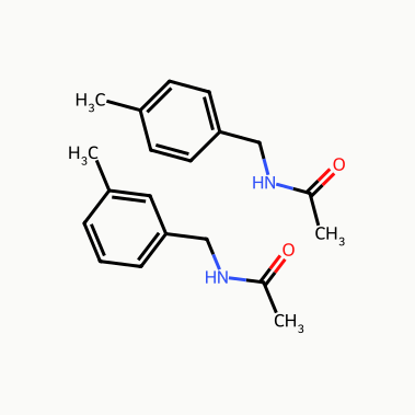 CC(=O)NCc1ccc(C)cc1.CC(=O)NCc1cccc(C)c1